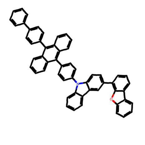 c1ccc(-c2ccc(-c3c4ccccc4c(-c4ccc(-n5c6ccccc6c6cc(-c7cccc8c7oc7ccccc78)ccc65)cc4)c4ccccc34)cc2)cc1